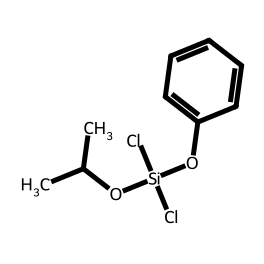 CC(C)O[Si](Cl)(Cl)Oc1ccccc1